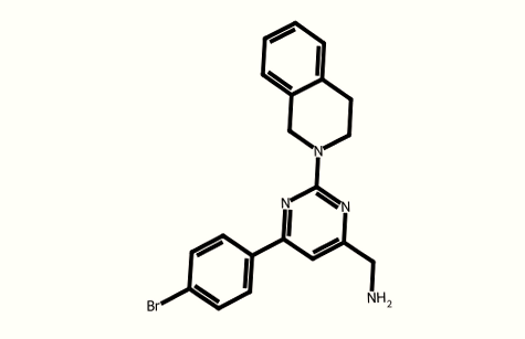 NCc1cc(-c2ccc(Br)cc2)nc(N2CCc3ccccc3C2)n1